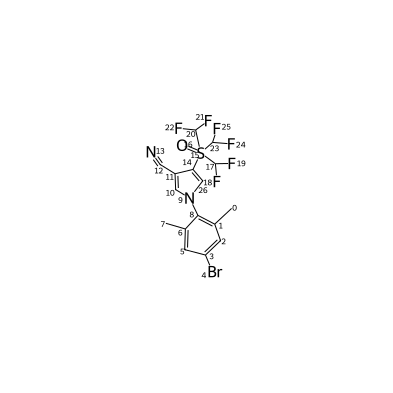 Cc1cc(Br)cc(C)c1-n1cc(C#N)c(S(=O)(C(F)F)(C(F)F)C(F)F)c1